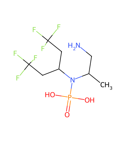 CC(CN)N(C(CC(F)(F)F)CC(F)(F)F)P(=O)(O)O